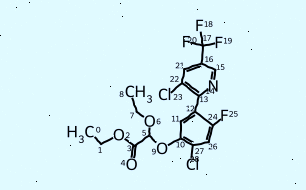 CCOC(=O)C(OCC)Oc1cc(-c2ncc(C(F)(F)F)cc2Cl)c(F)cc1Cl